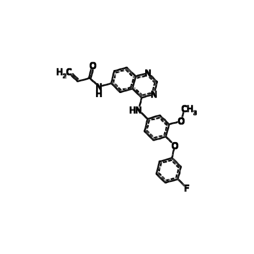 C=CC(=O)Nc1ccc2ncnc(Nc3ccc(Oc4cccc(F)c4)c(OC)c3)c2c1